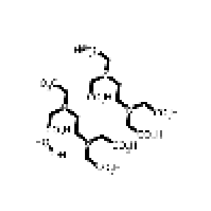 N.O=C(O)CN(CCN(CC(=O)O)CC(=O)O)CC(=O)O.O=C(O)CN(CCN(CC(=O)O)CC(=O)O)CC(=O)O.OO